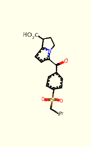 CC(C)CS(=O)(=O)c1ccc(C(=O)c2ccc3n2CCC3C(=O)O)cc1